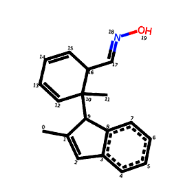 CC1=Cc2ccccc2C1C1(C)C=CC=CC1/C=N/O